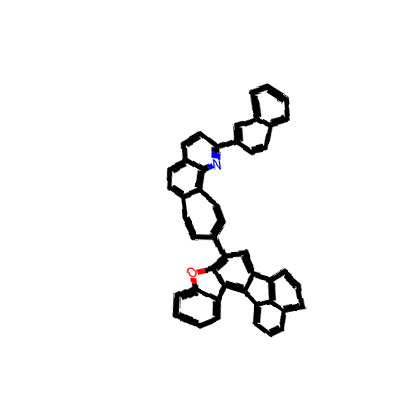 C1=Cc2c(ccc3ccc(-c4ccc5ccccc5c4)nc23)C=CC=1c1cc2c(c3c1oc1ccccc13)-c1cccc3cccc-2c13